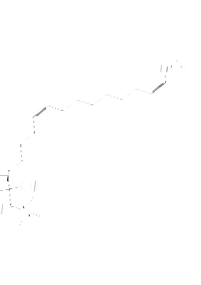 CCCCCCCC/C=C\CCCCCC/C=C\CCCCC(O)(C[N+](C)(C)C)P(=O)(O)O